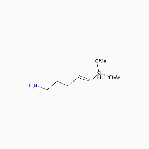 CO[SiH](C=CCCCN)OC